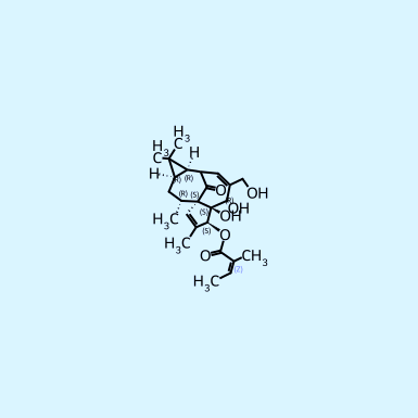 C/C=C(/C)C(=O)O[C@H]1C(C)=C[C@]23C(=O)C(C=C(CO)[C@@H](O)[C@]12O)[C@H]1[C@@H](C[C@H]3C)C1(C)C